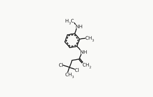 C=C(CC(C)(Cl)Cl)Nc1cccc(NC)c1C